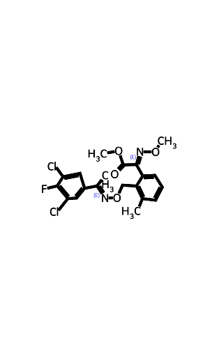 CO/N=C(/C(=O)OC)c1cccc(C)c1CO/N=C(\C)c1cc(Cl)c(F)c(Cl)c1